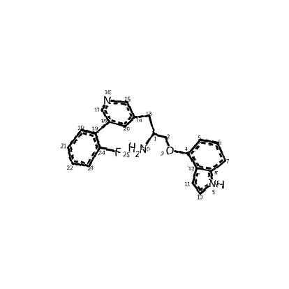 NC(COc1cccc2[nH]ccc12)Cc1cncc(-c2ccccc2F)c1